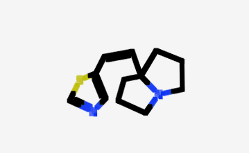 C(=C/C12CCCN1CCC2)/c1cncs1